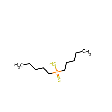 CCCCCP(=S)(S)CCCCC